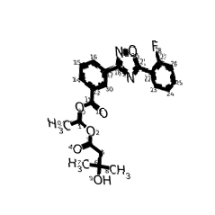 CC(OC(=O)CC(C)(C)O)OC(=O)c1cccc(-c2noc(-c3ccccc3F)n2)c1